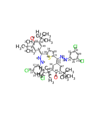 CC(C)(C)C1=CC(=C(/N=N/c2cc(Cl)cc(Cl)c2)c2ccc(C(/N=N/c3cc(Cl)cc(Cl)c3)=C3C=C(C(C)(C)C)C(=O)C(C(C)(C)C)=C3)s2)C=C(C(C)(C)C)C1=O